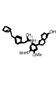 COc1cc(NC(C)Cc2ccc(CCN3C4CCC3CC4)cc2)c(C2CCc3cc(O)ccc3C2)cc1OC